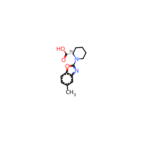 Cc1ccc2oc(N3CCCC[C@H]3C(=O)O)nc2c1